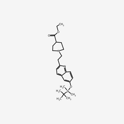 CCOC(=O)C1CCN(CCc2ccc3cc(O[Si](C)(C)C(C)(C)C)ccc3n2)CC1